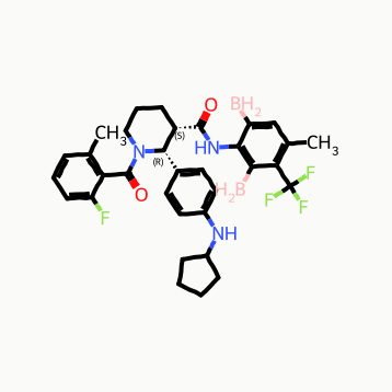 Bc1cc(C)c(C(F)(F)F)c(B)c1NC(=O)[C@H]1CCCN(C(=O)c2c(C)cccc2F)[C@H]1c1ccc(NC2CCCC2)cc1